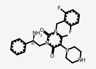 Cc1c(N2CCNCC2)c(=O)n(C[C@H](N)c2ccccc2)c(=O)n1Cc1c(F)cccc1F